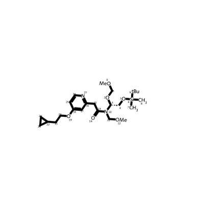 COCO[C@H](CO[Si](C)(C)C(C)(C)C)N(COC)C(=O)Cc1cc(OCCC2CC2)ccn1